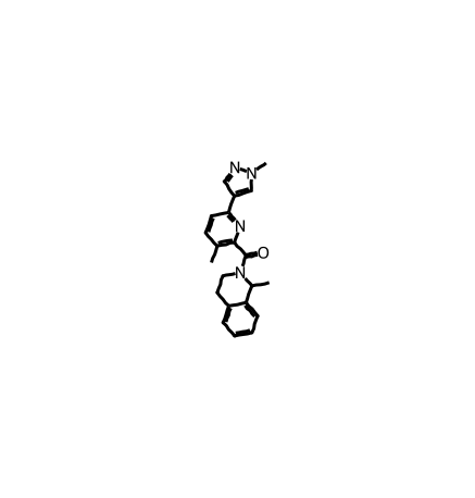 Cc1ccc(-c2cnn(C)c2)nc1C(=O)N1CCc2ccccc2C1C